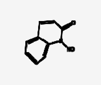 O=Nn1c(=O)ccc2ccccc21